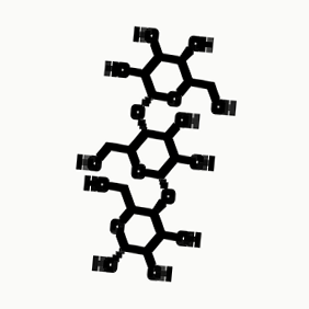 OCC1O[C@H](O[C@H]2C(CO)O[C@@H](O[C@@H]3C(CO)O[C@@H](O)C(O)C3O)C(O)C2O)C(O)C(O)[C@H]1O